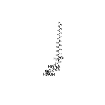 CCCCCCCCCCCCCCCCCC(=O)NCCC[N+](C)(C)CC(O)COP(=O)(O)O